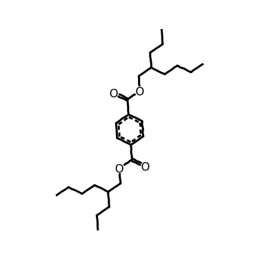 CCCCC(CCC)COC(=O)c1ccc(C(=O)OCC(CCC)CCCC)cc1